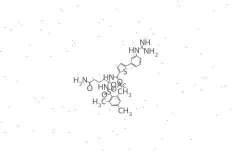 CC(=O)OC(CCCC(N)=O)(NC(=O)c1ccc(-c2cccc(NC(=N)N)c2)s1)NS(=O)(=O)c1c(C)cc(C)cc1C